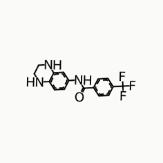 O=C(Nc1ccc2c(c1)NCCN2)c1ccc(C(F)(F)F)cc1